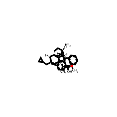 COc1ccc2c3c1O[C@H]1[C@@]4(OC)CC[C@@]5(C[C@@H]4[C@H](NC(C)C(=O)O)c4ccccc4)[C@@H](C2)N(CC2CC2)CC[C@]315